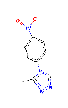 Cc1nncn1-c1ccc([N+](=O)[O-])cc1